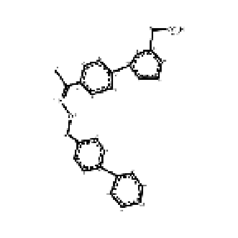 CC(=NOCc1ccc(-c2ccccc2)cc1)c1ccc(-c2cccc(CC(=O)O)c2)cc1